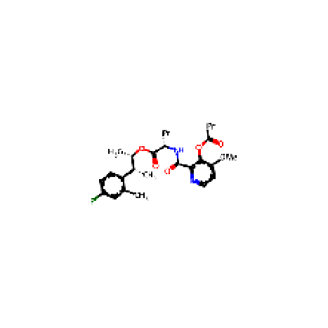 COc1ccnc(C(=O)N[C@H](C(=O)O[C@@H](C)[C@H](C)c2ccc(F)cc2C)C(C)C)c1OC(=O)C(C)C